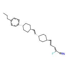 CCCc1ccc([C@H]2CC[C@H](C=C[C@H]3CC[C@H](C=CC=C(F)C#N)CC3)CC2)cc1